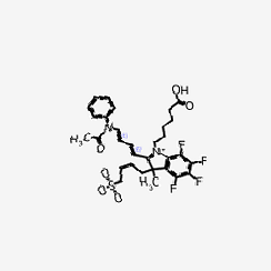 CC(=O)N(/C=C/C=C/C1=[N+](CCCCCC(=O)O)c2c(F)c(F)c(F)c(F)c2C1(C)CCCCS(=O)(=O)[O-])c1ccccc1